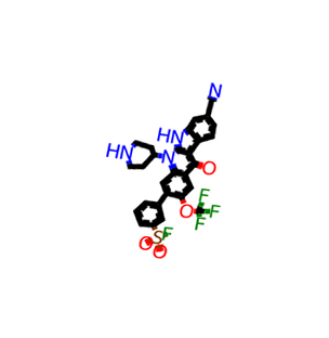 N#Cc1ccc2c(c1)[nH]c1c2c(=O)c2cc(OC(F)(F)F)c(-c3cccc(S(=O)(=O)F)c3)cc2n1C1CCNCC1